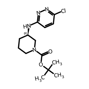 CC(C)(C)OC(=O)N1CCC[C@@H](Nc2ccc(Cl)nn2)C1